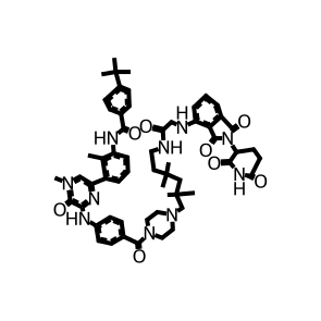 Cc1c(NC(=O)c2ccc(C(C)(C)C)cc2)cccc1-c1cn(C)c(=O)c(Nc2ccc(C(=O)N3CCN(CC(C)(C)CC(C)(C)CCNC(=O)CNc4cccc5c4C(=O)N(C4CCC(=O)NC4=O)C5=O)CC3)cc2)n1